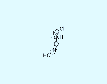 O=C(Nc1cc(Cl)ccn1)c1ccc(CN2CCC(O)CC2)cc1